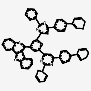 C1=CCC(c2nc(-c3ccc(C4=CCCC=C4)cc3)cc(-c3cc(-c4cc(-c5ccc(C6=CCCC=C6)cc5)nc(-c5ccccc5)n4)cc(-c4nc5ccccc5c5oc6ccccc6c45)c3)n2)C=C1